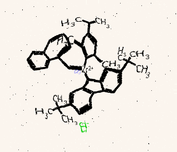 CC1=[C](/[Zr+2](=[CH]\c2cccc3ccccc23)[CH]2c3cc(C(C)(C)C)ccc3-c3ccc(C(C)(C)C)cc32)C(C)C=C1C(C)C.[Cl-].[Cl-]